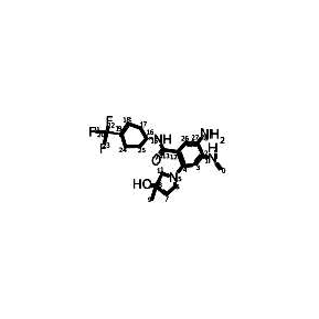 CNc1cc(N2CCC(C)(O)C2)c(C(=O)N[C@H]2CC[C@H](C(F)(F)F)CC2)cc1N